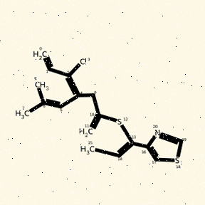 C=C/C(Cl)=C(\C=C(C)C)CC(=C)S/C(=C\C)c1cscn1